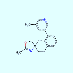 CC1=NC2(CCc3cccc(-c4cncc(C)c4)c3C2)CO1